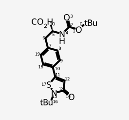 CC(C)(C)OC(=O)N[C@@H](Cc1ccc(-c2cc(=O)n(C(C)(C)C)s2)cc1)C(=O)O